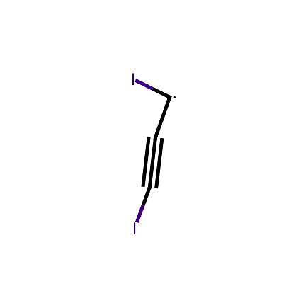 IC#C[CH]I